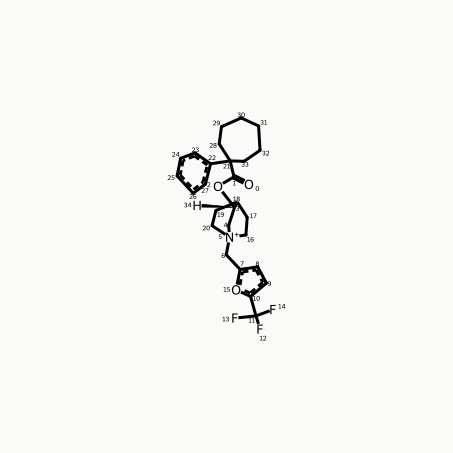 O=C(O[C@H]1C[N+]2(Cc3ccc(C(F)(F)F)o3)CCC1CC2)C1(c2ccccc2)CCCCCC1